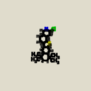 CC1(C)CCC(C)(C)c2cc3c(cc21)sc1c2cc(Cl)ncc2ccc31